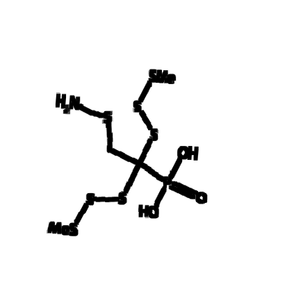 CSSSC(CSN)(SSSC)P(=O)(O)O